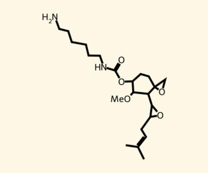 COC1C(OC(=O)NCCCCCCN)CCC2(CO2)C1C1OC1CC=C(C)C